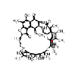 CCN(C)C[C@@H](CNC)CNC1=C2NC(=O)/C(C)=C\C=C\[C@H](C)C[C@@H](C)[C@@H](O)[C@@H](C)[C@H](OC(C)=O)[C@H](C)CCC[C@@]3(C)Oc4c(C)c(O)c(c(c4C3=O)/C1=N/C)C2=O